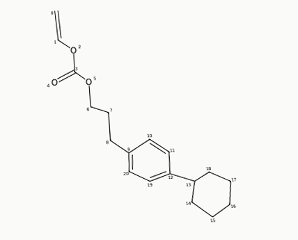 C=COC(=O)OCCCc1ccc(C2CCCCC2)cc1